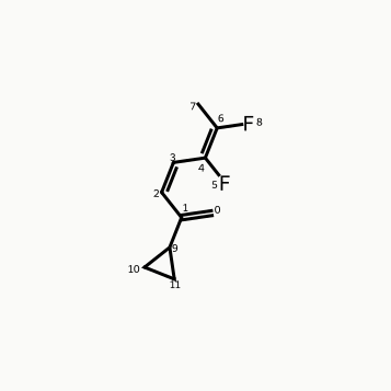 C=C(/C=C\C(F)=C(/C)F)C1CC1